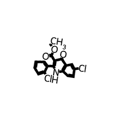 CCOC(=O)c1c(-c2ccccc2Cl)[nH]c2ccc(Cl)cc2c1=O